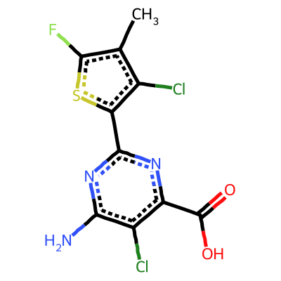 Cc1c(F)sc(-c2nc(N)c(Cl)c(C(=O)O)n2)c1Cl